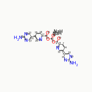 Nc1ncc(-c2ccc(C(=O)OC(=O)OC(=O)c3ccc(-c4cnc(N)nc4)cn3)nc2)cn1.[NaH].[NaH]